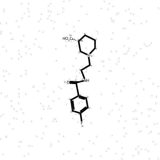 O=C(NCCN1CCC[C@@H](C(=O)O)C1)c1ccc(F)cc1